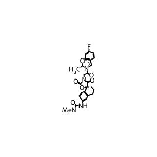 CNC(=O)Nc1ccc2c(c1)CCC[C@@]21OC(=O)N(CC(=O)N(Cc2ccc(F)cc2)C(C)C(F)(F)F)C1=O